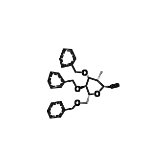 C#C[C@H]1O[C@H](COCc2ccccc2)[C@@H](OCc2ccccc2)[C@H](OCc2ccccc2)[C@@H]1C